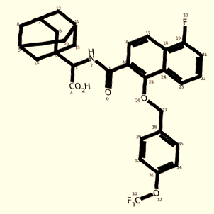 O=C(NC(C(=O)O)C12CC3CC(CC(C3)C1)C2)c1ccc2c(F)cccc2c1OCc1ccc(OC(F)(F)F)cc1